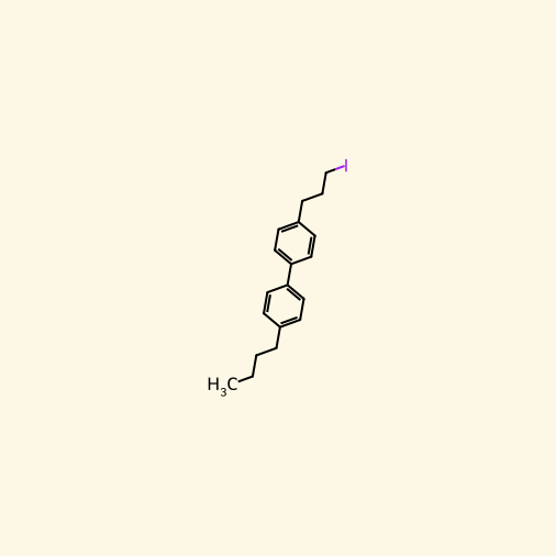 CCCCc1ccc(-c2ccc(CCCI)cc2)cc1